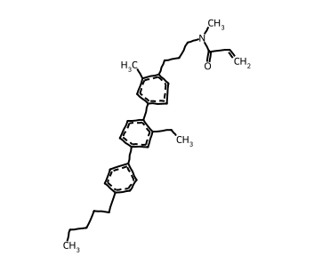 C=CC(=O)N(C)CCCc1ccc(-c2ccc(-c3ccc(CCCCC)cc3)cc2CC)cc1C